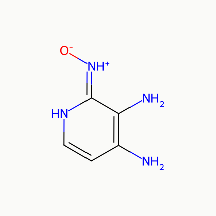 Nc1cc[nH]c(=[NH+][O-])c1N